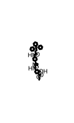 CCOC(=O)c1ccc(Nc2nc(-c3ccc(NC(=O)CC[P+](c4ccccc4)(c4ccccc4)c4ccccc4)cc3)cs2)cc1O